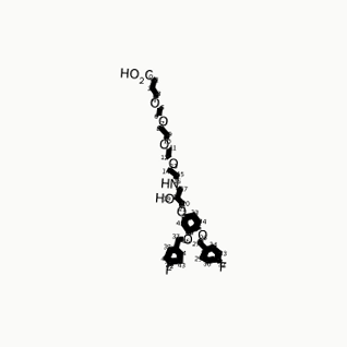 O=C(O)CCCOCCOCCOCCOCCNC[C@@H](O)COc1ccc(OCc2ccc(F)cc2)c(OCc2ccc(F)cc2)c1